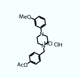 COc1cccc(N2CCN(Cc3ccc(OC(C)=O)cc3)CC2)c1.Cl.Cl